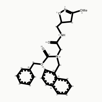 COC1=NOC(CNC(=O)CN(Cc2cccc3ccccc23)C(=O)OCc2ccccc2)C1